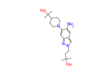 CC(C)(O)CCn1cc2cc(N)c(N3CCC(C(C)(C)O)CC3)cc2n1